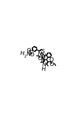 CCOC(=O)C1=C(C)NC(C)=C(C(=O)OCC)C1c1ccccc1Nc1nc(-c2cccc(S(N)(=O)=O)c2)cs1